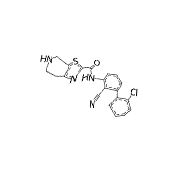 N#Cc1c(NC(=O)c2nc3c(s2)CNCC3)cccc1-c1ccccc1Cl